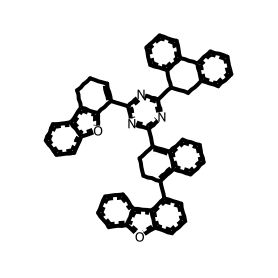 C1=C(c2nc(C3=c4ccccc4=C(c4cccc5oc6ccccc6c45)CC3)nc(C3Cc4ccccc4-c4ccccc43)n2)c2oc3ccccc3c2CC1